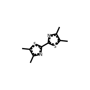 Cc1nc(-c2nc(C)c(C)s2)sc1C